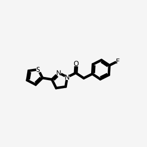 O=C(Cc1ccc(F)cc1)N1CCC(c2cccs2)=N1